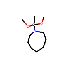 CO[Si](C)(OC)N1CCCCCCC1